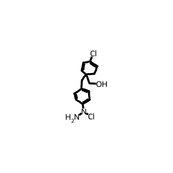 NN(Cl)c1ccc(CC2(CO)C=CC(Cl)=CC2)cc1